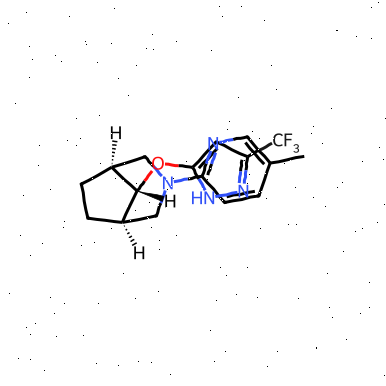 Cc1ccc(N2C[C@H]3CC[C@@H](C2)[C@@H]3Oc2cc(C(F)(F)F)n[nH]2)nc1